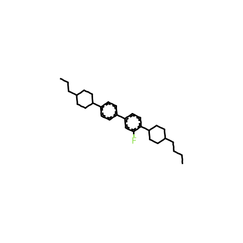 CCCCC1CCC(c2ccc(-c3ccc(C4CCC(CCC)CC4)cc3)cc2F)CC1